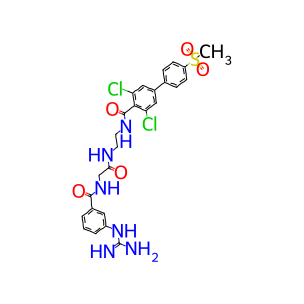 CS(=O)(=O)c1ccc(-c2cc(Cl)c(C(=O)NCCNC(=O)CNC(=O)c3cccc(NC(=N)N)c3)c(Cl)c2)cc1